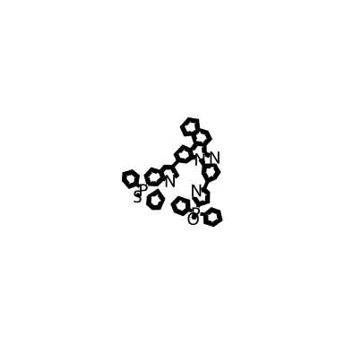 O=P(c1ccccc1)(c1ccccc1)c1ccc(-c2ccc3nc4c5ccc6ccccc6c5c5ccc(-c6cnc7cc(P(=S)(c8ccccc8)c8ccccc8)ccc7c6)cc5n4c3c2)nc1